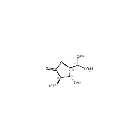 CO[C@H]1[C@H]([C@H](OC)C(=O)O)OC(=O)[C@@H]1OC